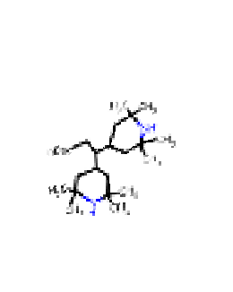 CCCCCCCCCCCC(C1CC(C)(C)NC(C)(C)C1)C1CC(C)(C)NC(C)(C)C1